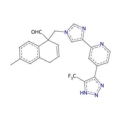 Cc1ccc2c(c1)CC=CC2(C=O)Cn1cnc(-c2cc(-c3nn[nH]c3C(F)(F)F)ccn2)c1